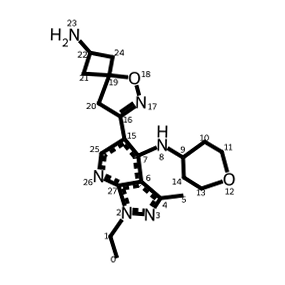 CCn1nc(C)c2c(NC3CCOCC3)c(C3=NOC4(C3)CC(N)C4)cnc21